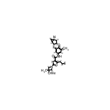 COC1(C)CN(c2nc(C(=O)Nc3cc(C)c(O[C@H]4CC5C[C@H]5C4)c(F)c3)c(CCF)o2)C1